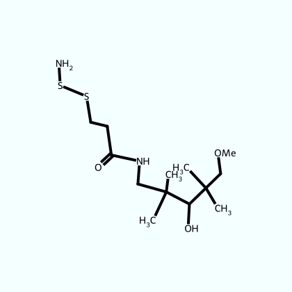 COCC(C)(C)C(O)C(C)(C)CNC(=O)CCSSN